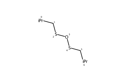 CC(C)CSOSCC(C)C